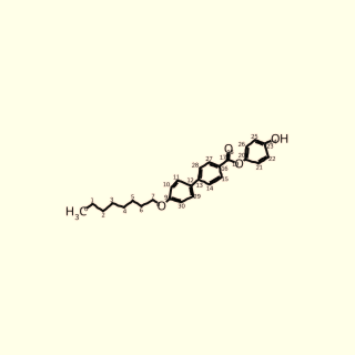 CCCCCCCCOc1ccc(-c2ccc(C(=O)Oc3ccc(O)cc3)cc2)cc1